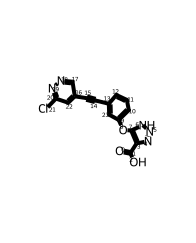 O=C(O)c1nn[nH]c1Oc1cccc(C#Cc2cnnc(Cl)c2)c1